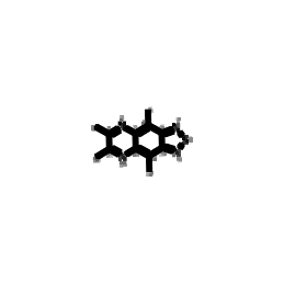 Cc1nc2c(C)c3nsnc3c(C)c2nc1C